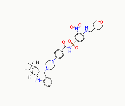 C[C@H]1[C@H]2C[C@H](CC2Nc2ccccc2CN2CCN(c3ccc(C(=O)NS(=O)(=O)c4ccc(NCC5CCOCC5)c([N+](=O)[O-])c4)cc3)CC2)C1(C)C